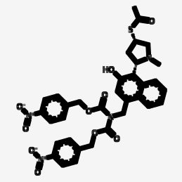 CC(=O)S[C@H]1C[C@@H](c2c(O)cc(CN(C(=O)OCc3ccc([N+](=O)[O-])cc3)C(=O)OCc3ccc([N+](=O)[O-])cc3)c3ccccc23)N(C)C1